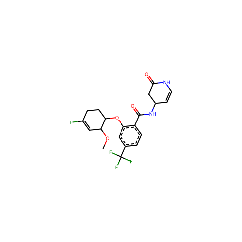 COC1C=C(F)CCC1Oc1cc(C(F)(F)F)ccc1C(=O)NC1C=CNC(=O)C1